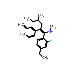 C=C/C=C(\C=C/C)C(/CC(C)CC)=C(/NC)c1c(F)cc(CC)cc1F